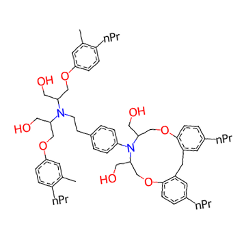 CCCc1ccc2c(c1)Cc1cc(CCC)ccc1OCC(CO)N(c1ccc(CCN(C(CO)COc3ccc(CCC)c(C)c3)C(CO)COc3ccc(CCC)c(C)c3)cc1)C(CO)CO2